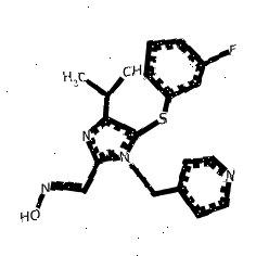 CC(C)c1nc(/C=N/O)n(Cc2ccncc2)c1Sc1cccc(F)c1